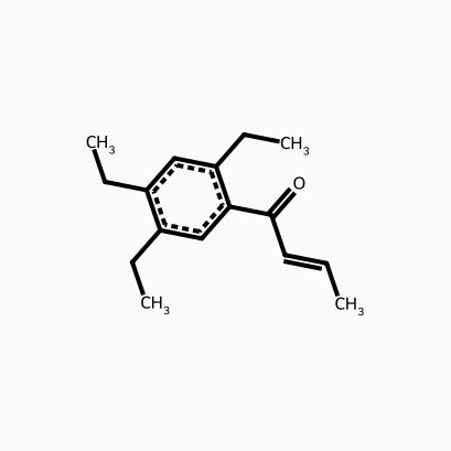 C/C=C/C(=O)c1cc(CC)c(CC)cc1CC